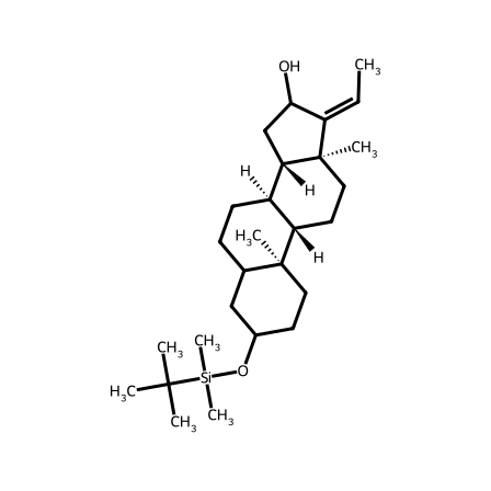 CC=C1C(O)C[C@H]2[C@@H]3CCC4CC(O[Si](C)(C)C(C)(C)C)CC[C@]4(C)[C@H]3CC[C@]12C